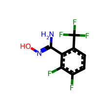 NC(=NO)c1c(C(F)(F)F)ccc(F)c1F